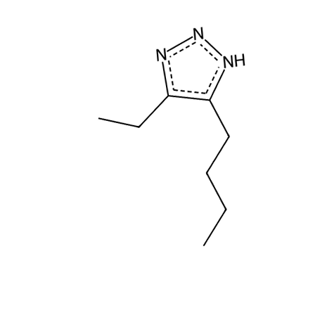 CCCCc1[nH]nnc1CC